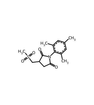 Cc1cc(C)c(N2C(=O)CC(CS(C)(=O)=O)C2=O)c(C)c1